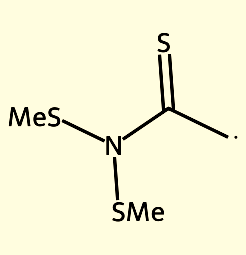 [CH2]C(=S)N(SC)SC